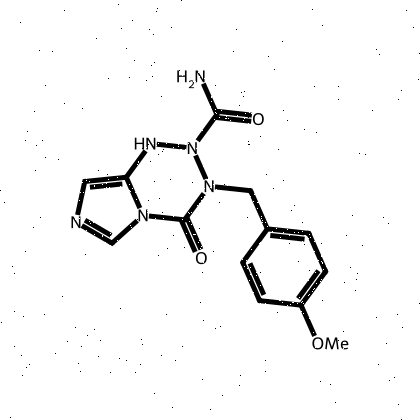 COc1ccc(CN2C(=O)n3cncc3NN2C(N)=O)cc1